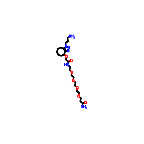 NCCCn1nnc2c1CCCCCC2OCC(=O)NCCOCCOCCOCCOCCC(N)=O